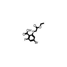 CCOC(=O)CSc1cc(Br)cc(F)c1C(=O)O